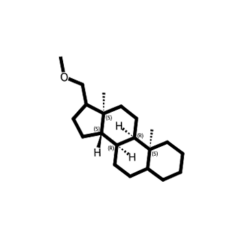 COCC1CC[C@H]2[C@@H]3CCC4CCCC[C@]4(C)[C@@H]3CC[C@]12C